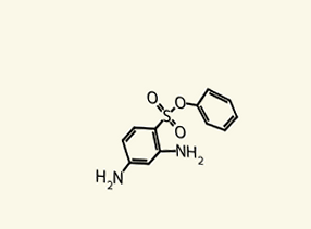 Nc1ccc(S(=O)(=O)Oc2ccccc2)c(N)c1